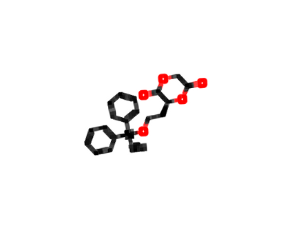 CC(C)(C)[Si](OCC[C@@H]1OC(=O)COC1=O)(c1ccccc1)c1ccccc1